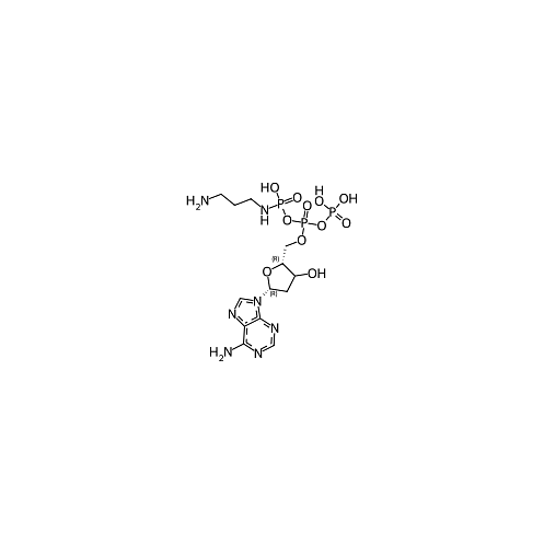 NCCCNP(=O)(O)OP(=O)(OC[C@H]1O[C@@H](n2cnc3c(N)ncnc32)CC1O)OP(=O)(O)O